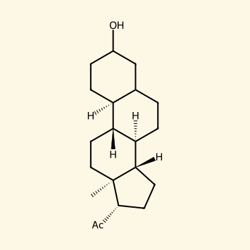 CC(=O)[C@H]1CC[C@H]2[C@@H]3CCC4CC(O)CC[C@@H]4[C@H]3CC[C@]12C